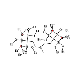 CCO[Si](OCC)(OCC)C(CCN(C)CCC([Si](OCC)(OCC)OCC)([Si](OCC)(OCC)OCC)[Si](OCC)(OCC)OCC)([Si](OCC)(OCC)OCC)[Si](OCC)(OCC)OCC